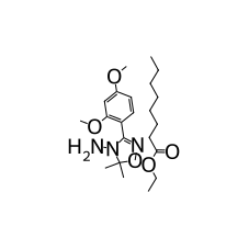 CCCCCCCC(=O)OCC.COc1ccc(C2=NOC(C)(C)N2N)c(OC)c1